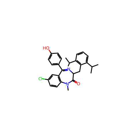 CC(C)c1cccc(C(C)C)c1CC1N=C(c2ccc(O)cc2)c2cc(Cl)ccc2N(C)C1=O